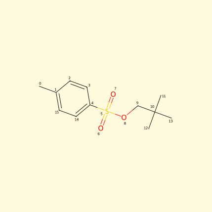 Cc1ccc(S(=O)(=O)OCC(C)(C)C)cc1